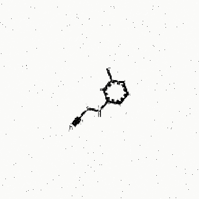 Cc1cccc(NSC#N)c1